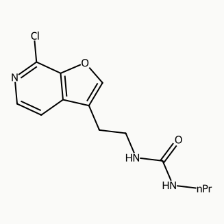 CCCNC(=O)NCCc1coc2c(Cl)nccc12